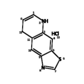 C1=CNc2cc3scnc3cc2C1.Cl